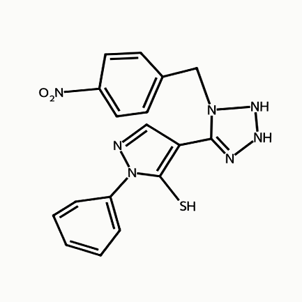 O=[N+]([O-])c1ccc(CN2NNN=C2c2cnn(-c3ccccc3)c2S)cc1